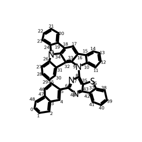 c1ccc2cc(-c3nc(-n4c5ccccc5c5cc6c7ccccc7n7c8ccccc8c(c54)c67)c4sc5ccccc5c4n3)ccc2c1